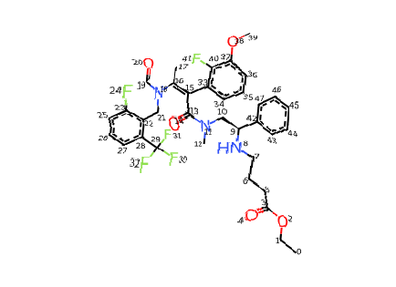 CCOC(=O)CCCN[C@@H](CN(C)C(=O)/C(=C(/C)N(C=O)Cc1c(F)cccc1C(F)(F)F)c1cccc(OC)c1F)c1ccccc1